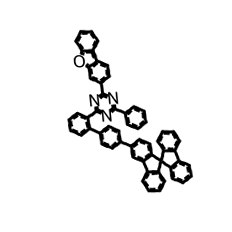 c1ccc(-c2nc(-c3ccc4c(c3)oc3ccccc34)nc(-c3ccccc3-c3ccc(-c4ccc5c(c4)-c4ccccc4C54c5ccccc5-c5ccccc54)cc3)n2)cc1